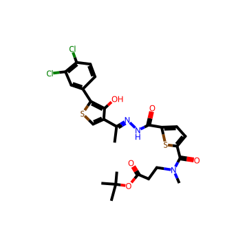 CC(=NNC(=O)c1ccc(C(=O)N(C)CCC(=O)OC(C)(C)C)s1)c1csc(-c2ccc(Cl)c(Cl)c2)c1O